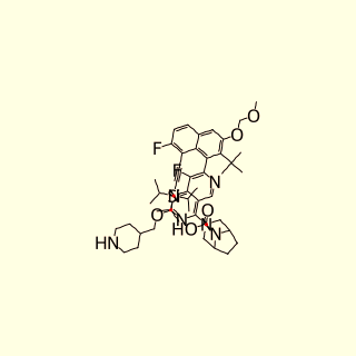 COCOc1cc2ccc(F)c(C#C[Si](C(C)C)(C(C)C)C(C)C)c2c(-c2ncc3c(N4CC5CCC(C4)N5C(=O)O)nc(OCC4CCNCC4)nc3c2F)c1C(C)(C)C